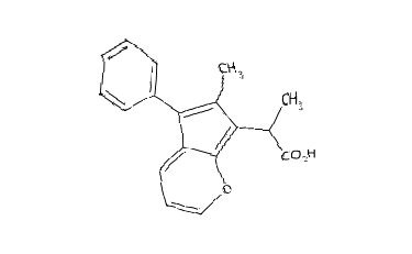 Cc1c(-c2ccccc2)c2cccoc-2c1C(C)C(=O)O